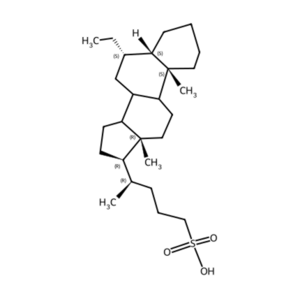 CC[C@H]1CC2C3CC[C@H]([C@H](C)CCCS(=O)(=O)O)[C@@]3(C)CCC2[C@@]2(C)CCCC[C@@H]12